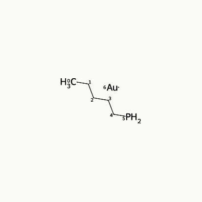 CCCCCP.[Au]